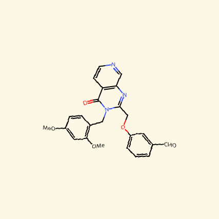 COc1ccc(Cn2c(COc3cccc(C=O)c3)nc3cnccc3c2=O)c(OC)c1